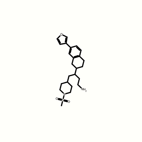 CS(=O)(=O)N1CCC(CC(CCN)C2CCc3ccc(-c4ccoc4)cc3C2)CC1